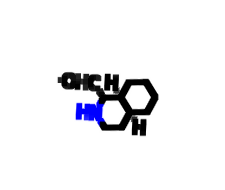 O=[C][C@@H]1NCC[C@@H]2CCCC[C@@H]21